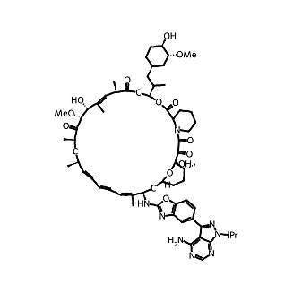 CO[C@@H]1C[C@@H](CC(C)[C@@H]2CC(=O)[C@H](C)/C=C(\C)[C@@H](O)[C@@H](OC)C(=O)[C@H](C)C[C@H](C)/C=C/C=C/C=C(/C)[C@H](Nc3nc4cc(-c5nn(C(C)C)c6ncnc(N)c56)ccc4o3)C[C@@H]3CC[C@@H](C)[C@@](O)(O3)C(=O)C(=O)N3CCCCC3C(=O)O2)CC[C@H]1O